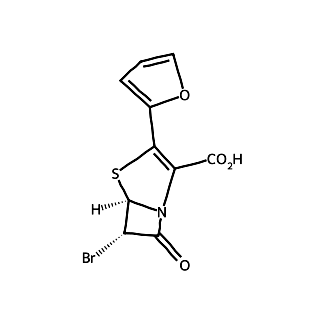 O=C(O)C1=C(c2ccco2)S[C@@H]2[C@@H](Br)C(=O)N12